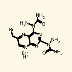 NC(=O)N(N)c1nc(N(N)C(N)=O)c2nc(CBr)cnc2n1.[Br-].[H+]